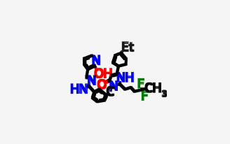 CCC1=CCC(C2=CC(=O)N(Cc3cccc(C(=N)/N=C/c4cccnc4O)c3)C(CCCC(C)(F)F)N2)C=C1